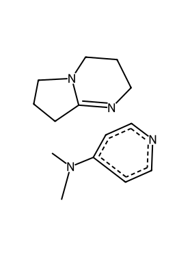 C1CN=C2CCCN2C1.CN(C)c1ccncc1